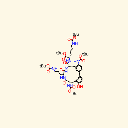 CC(C)(C)OC(=O)NCCCC[C@H](NC(=O)[C@@H]1Cc2cc(ccc2NC(=O)OC(C)(C)C)-c2ccc(O)c(c2)C[C@H](NC(=O)OC(C)(C)C)C(=O)N[C@@H](CCCNC(=O)OC(C)(C)C)C(=O)N1)C(=O)OC(C)(C)C